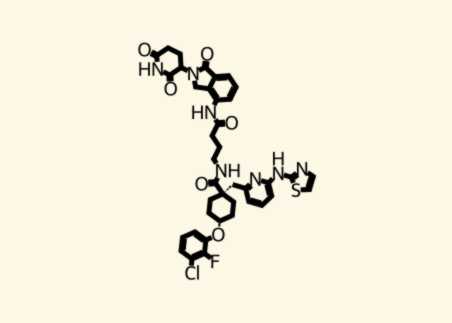 O=C1CCC(N2Cc3c(NC(=O)CCCNC(=O)[C@]4(Cc5cccc(Nc6nccs6)n5)CC[C@@H](Oc5cccc(Cl)c5F)CC4)cccc3C2=O)C(=O)N1